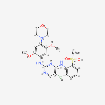 CCOc1cc(N2CCOCC2)c(OCC)cc1Nc1ncc(Cl)c(Nc2ccccc2S(=O)(=O)NC)n1